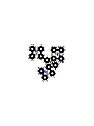 c1ccc([Si](c2ccc(-c3ccc4c(c3)-c3ccccc3N3B4c4ccccc4-c4ccccc43)cc2)(c2ccc3c(c2)-c2ccccc2N2B3c3ccccc3-c3ccccc32)c2ccc3c(c2)-c2ccccc2B2c4ccccc4-c4ccccc4N23)cc1